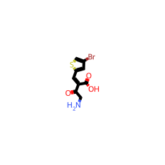 NCC(=O)/C(=C/c1cc(Br)cs1)C(=O)O